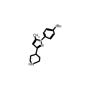 Cc1cc(C2CCNCC2)nn1-c1ccc(C(C)(C)C)cc1